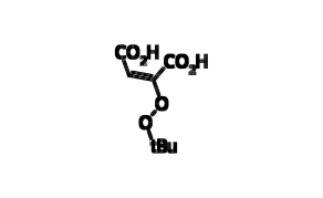 CC(C)(C)OOC(=CC(=O)O)C(=O)O